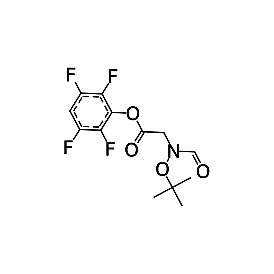 CC(C)(C)ON(C=O)CC(=O)Oc1c(F)c(F)cc(F)c1F